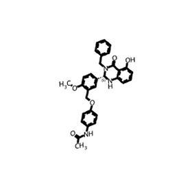 COc1ccc([C@H]2Nc3cccc(O)c3C(=O)N2Cc2ccccc2)cc1COc1ccc(NC(C)=O)cc1